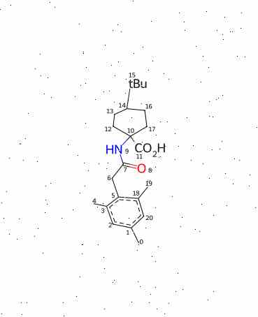 Cc1cc(C)c(CC(=O)NC2(C(=O)O)CCC(C(C)(C)C)CC2)c(C)c1